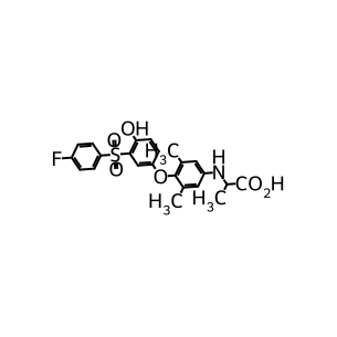 Cc1cc(NC(C)C(=O)O)cc(C)c1Oc1ccc(O)c(S(=O)(=O)c2ccc(F)cc2)c1